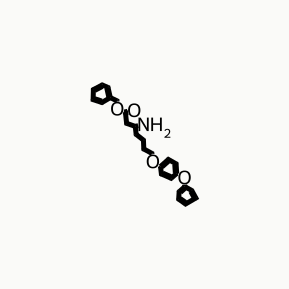 NC(CCCCOc1ccc(Oc2ccccc2)cc1)CC(=O)OCc1ccccc1